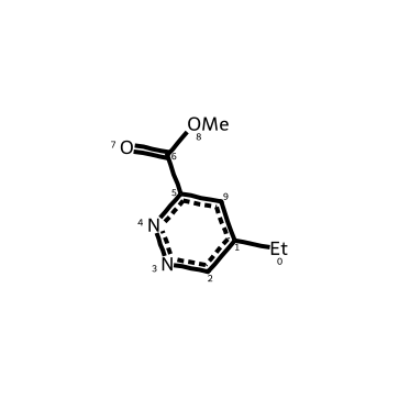 CCc1cnnc(C(=O)OC)c1